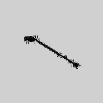 Cc1c(CNCCOCCOCCOCCOCCOCCOCCOCCOCCNC(=O)CCCCCNC(=O)CCCCCNC(=O)CCCC[C@@H]2SC[C@@H]3NC(=O)N[C@@H]32)[nH]c(=O)c2c1ccc1nc(Nc3c(Cl)cccc3Cl)n(C)c12